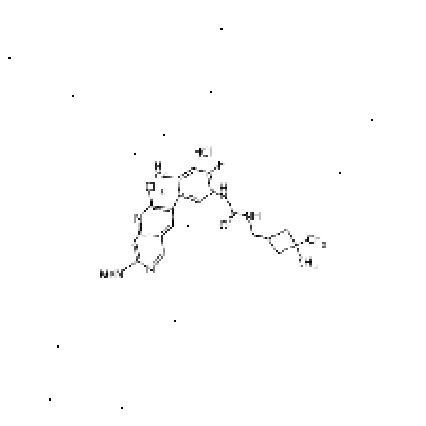 CNc1cc2nc(C)c(-c3cc(NC(=O)NCC4CC(C)(C)C4)c(F)cc3C)cc2cn1.Cl